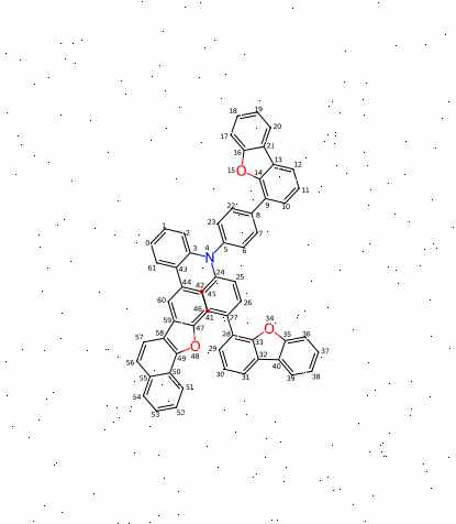 c1ccc(N(c2ccc(-c3cccc4c3oc3ccccc34)cc2)c2ccc(-c3cccc4c3oc3ccccc34)cc2)c(-c2ccc3oc4c5ccccc5ccc4c3c2)c1